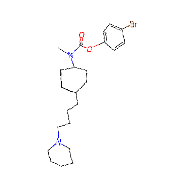 CN(C(=O)Oc1ccc(Br)cc1)C1CCC(CCCCN2CCCCC2)CC1